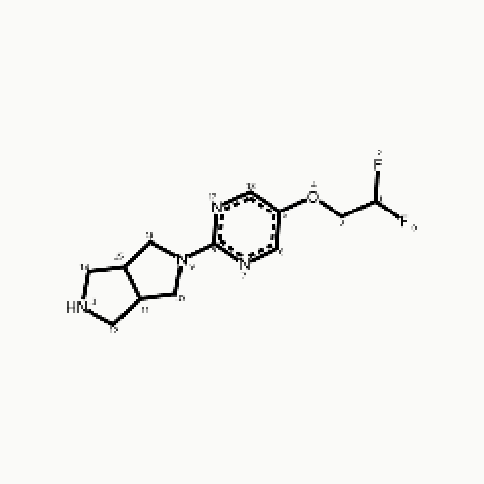 FC(F)COc1cnc(N2CC3CNCC3C2)nc1